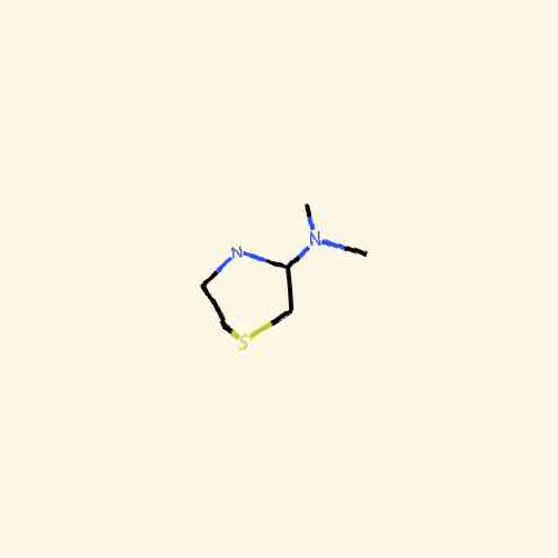 CN(C)C1CSCC[N]1